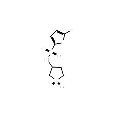 O=S1(=O)CCC(NS(=O)(=O)c2ccc(Br)s2)C1